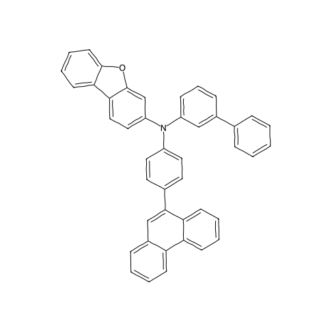 c1ccc(-c2cccc(N(c3ccc(-c4cc5ccccc5c5ccccc45)cc3)c3ccc4c(c3)oc3ccccc34)c2)cc1